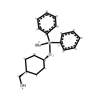 CC(C)(C)[Si](O[C@H]1CC[C@@H](CO)CC1)(c1ccccc1)c1ccccc1